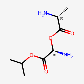 CC(C)OC(=O)[C@H](N)OC(=O)[C@@H](C)N